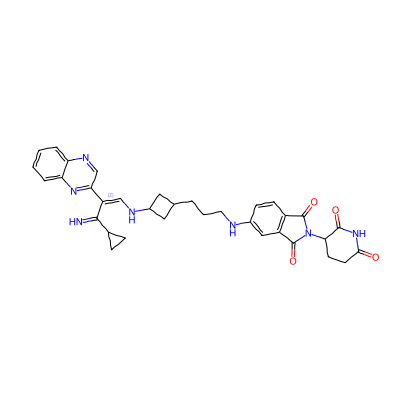 N=C(/C(=C\NC1CC(CCCNc2ccc3c(c2)C(=O)N(C2CCC(=O)NC2=O)C3=O)C1)c1cnc2ccccc2n1)C1CC1